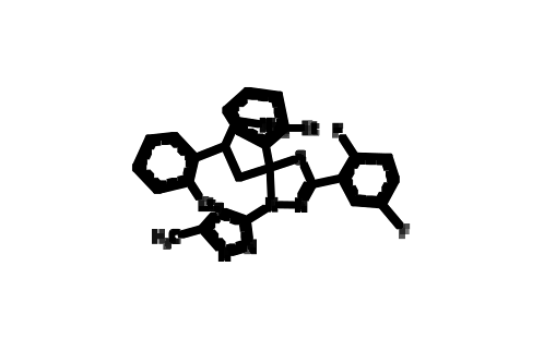 CCc1ccccc1C(CN)CC1(c2ccccc2CC)SC(c2cc(F)ccc2F)=NN1c1nnc(C)s1